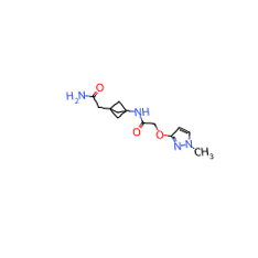 Cn1ccc(OCC(=O)NC23CC(CC(N)=O)(C2)C3)n1